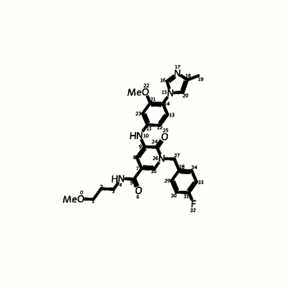 COCCCNC(=O)c1cc(Nc2ccc(-n3cnc(C)c3)c(OC)c2)c(=O)n(Cc2ccc(F)cc2)c1